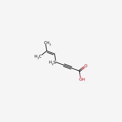 CC(C)=C[SiH2]C#CC(=O)O